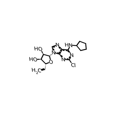 C=C[C@H]1O[C@@H](n2cnc3c(NC4CCCC4)nc(Cl)nc32)[C@H](O)[C@@H]1O